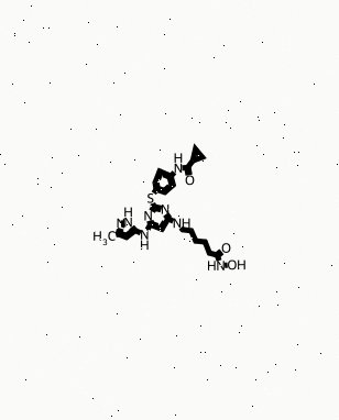 Cc1cc(Nc2cc(NCCCCCC(=O)NO)nc(Sc3ccc(NC(=O)C4CC4)cc3)n2)[nH]n1